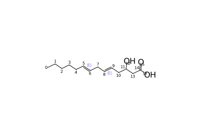 CCCCC/C=C/C/C=C/CC(O)CC(=O)O